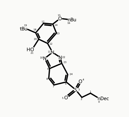 CCCCCCCCCCCCS(=O)(=O)c1ccc2nn(-c3cc(OCCCC)cc(C(C)(C)C)c3O)nc2c1